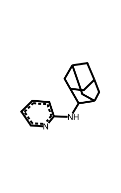 c1ccc(NC2C3CC4CC(C3)CC2C4)nc1